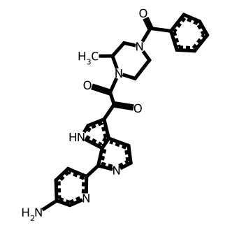 CC1CN(C(=O)c2ccccc2)CCN1C(=O)C(=O)c1c[nH]c2c(-c3ccc(N)cn3)nccc12